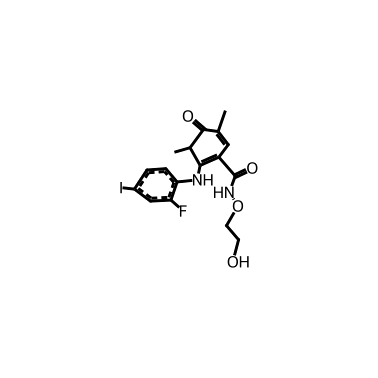 CC1=CC(C(=O)NOCCO)=C(Nc2ccc(I)cc2F)C(C)C1=O